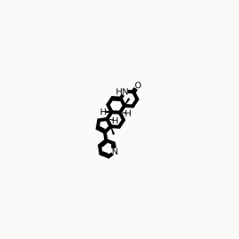 C[C@]12CCC(=O)NC1=CC[C@@H]1[C@@H]2CC[C@]2(C)C(c3cccnc3)=CC[C@@H]12